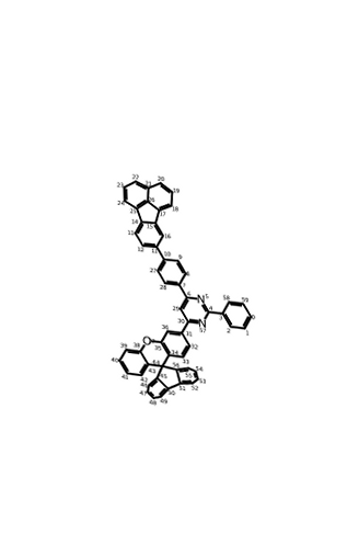 c1ccc(-c2nc(-c3ccc(-c4ccc5c(c4)-c4cccc6cccc-5c46)cc3)cc(-c3ccc4c(c3)Oc3ccccc3C43c4ccccc4-c4ccccc43)n2)cc1